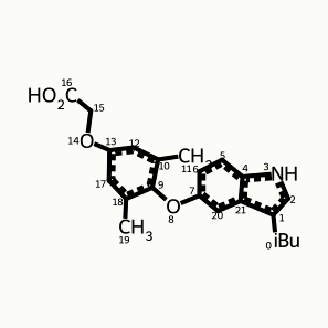 CCC(C)c1c[nH]c2ccc(Oc3c(C)cc(OCC(=O)O)cc3C)cc12